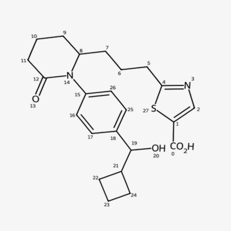 O=C(O)c1cnc(CCCC2CCCC(=O)N2c2ccc(C(O)C3CCC3)cc2)s1